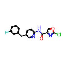 O=C(Nc1ccc(Cc2cccc(F)c2)cn1)c1coc(Cl)n1